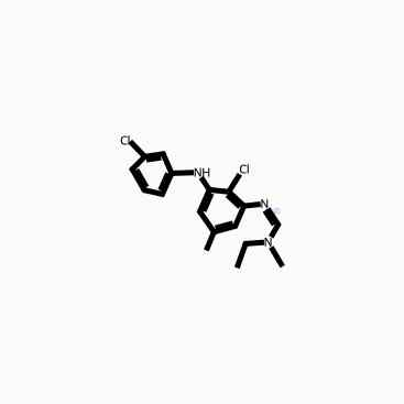 CCN(C)/C=N\c1cc(C)cc(Nc2cccc(Cl)c2)c1Cl